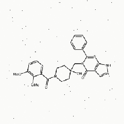 COc1cccc(C(=O)N2CCC(O)(Cn3c(-c4ccccc4)nc4[nH]ncc4c3=O)CC2)c1OC